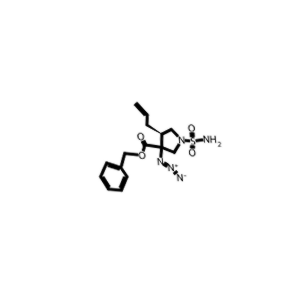 C=CC[C@H]1CN(S(N)(=O)=O)CC1(N=[N+]=[N-])C(=O)OCc1ccccc1